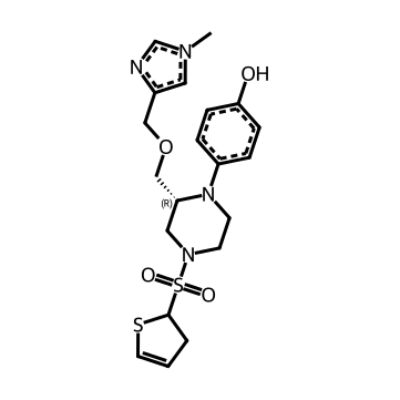 Cn1cnc(COC[C@H]2CN(S(=O)(=O)C3CC=CS3)CCN2c2ccc(O)cc2)c1